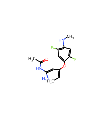 C/C=C(\C=C(/N)NC(C)=O)Oc1cc(F)c(NC)cc1F